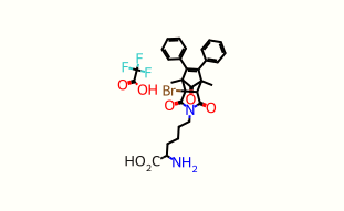 CC12C(=O)C(C)(C(c3ccccc3)=C1c1ccccc1)C1(Br)C(=O)N(CCCCC(N)C(=O)O)C(=O)C21.O=C(O)C(F)(F)F